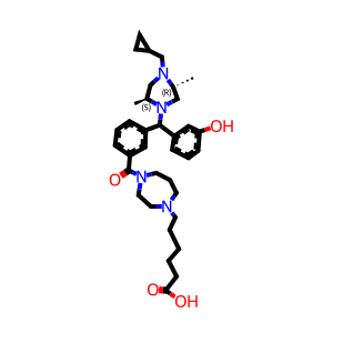 C[C@@H]1CN(C(c2cccc(O)c2)c2cccc(C(=O)N3CCCN(CCCCCC(=O)O)CC3)c2)[C@@H](C)CN1CC1CC1